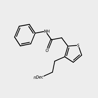 CCCCCCCCCCCCc1ccsc1CC(=O)Nc1ccccc1